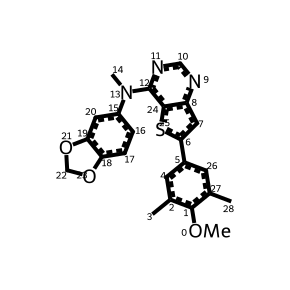 COc1c(C)cc(-c2cc3ncnc(N(C)c4ccc5c(c4)OCO5)c3s2)cc1C